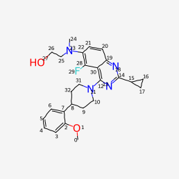 COc1ccccc1C1CCN(c2nc(C3CC3)nc3ccc(N(C)CCO)c(F)c23)CC1